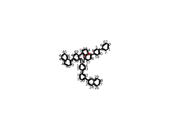 c1ccc(-c2ccc(-c3ccc(N(c4ccc(-c5cccc(-c6ccc7ccccc7c6)c5)cc4)c4cc(-c5cccc6ccccc56)ccc4-c4ccccc4)cc3)cc2)cc1